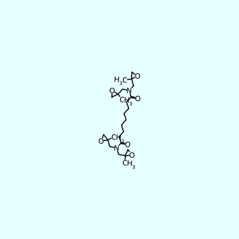 CC1(CN(CC2(C)CO2)C(=O)CCCCCCCC(=O)N(CC2(C)CO2)CC2(C)CO2)CO1